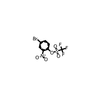 O=[N+]([O-])c1cc(Br)ccc1OS(=O)(=O)C(F)(F)F